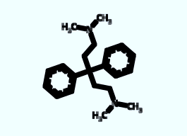 CN(C)CCC(CCN(C)C)(c1ccccc1)c1ccccc1